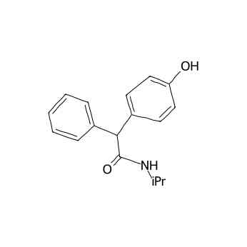 CC(C)NC(=O)C(c1ccccc1)c1ccc(O)cc1